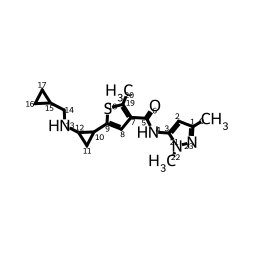 Cc1cc(NC(=O)c2cc(C3CC3NCC3CC3)sc2C)n(C)n1